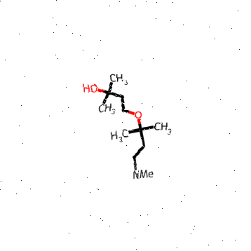 CNCCC(C)(C)OCCC(C)(C)O